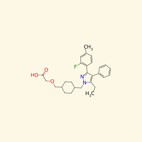 CCc1c(-c2ccccc2)c(-c2ccc(C)cc2F)nn1CC1CCC(COCC(=O)O)CC1